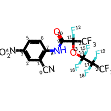 N#Cc1cc([N+](=O)[O-])ccc1NC(=O)C(F)(OC(F)(F)C(F)(F)C(F)(F)F)C(F)(F)F